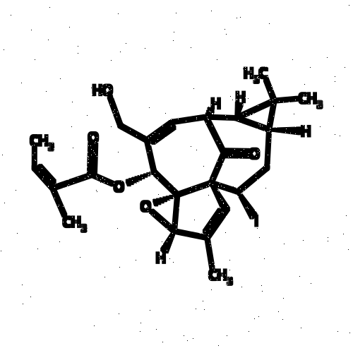 C/C=C(/C)C(=O)O[C@@H]1C(CO)=C[C@@H]2C(=O)[C@]3(C=C(C)[C@@H]4O[C@@]143)[C@H](I)C[C@@H]1[C@H]2C1(C)C